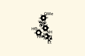 CCn1cnc2c(Nc3ccc(S(=O)(=O)N(C)c4ccc(OC)cc4)cc3)nc(NC3CCC(O)CC3)nc21